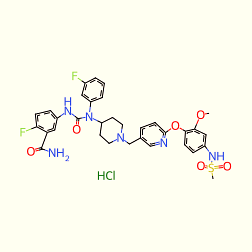 COc1cc(NS(C)(=O)=O)ccc1Oc1ccc(CN2CCC(N(C(=O)Nc3ccc(F)c(C(N)=O)c3)c3cccc(F)c3)CC2)cn1.Cl